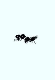 C[C@H](NC(=O)c1ccc2c(c1)OCCN2Cc1ccc(-c2ccccc2C(=O)O)cc1)c1ccc(OC(F)(F)F)cc1